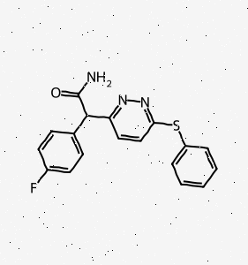 NC(=O)C(c1ccc(F)cc1)c1ccc(Sc2ccccc2)nn1